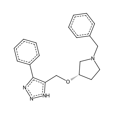 c1ccc(CN2CC[C@H](OCc3[nH]nnc3-c3ccccc3)C2)cc1